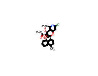 COC(=O)[C@H]1[C@@H](c2ccccc2)[C@]2(c3ccc(C(F)(F)F)cc3)Oc3cc(Cl)nc(OC)c3[C@@]1(O)C2(O)O